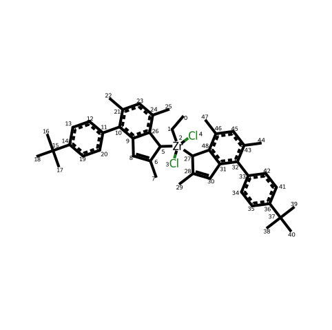 C[CH2][Zr]([Cl])([Cl])([CH]1C(C)=Cc2c(-c3ccc(C(C)(C)C)cc3)c(C)cc(C)c21)[CH]1C(C)=Cc2c(-c3ccc(C(C)(C)C)cc3)c(C)cc(C)c21